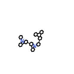 c1ccc(-n2c3ccccc3c3cc(-c4ccc5c(c4)c4ccccc4n5-c4cccc(-c5ccc6c7ccccc7c7ccccc7c6c5)c4)ccc32)cc1